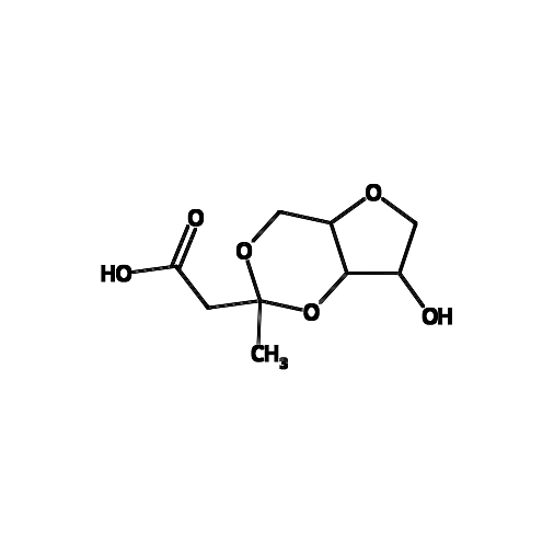 CC1(CC(=O)O)OCC2OCC(O)C2O1